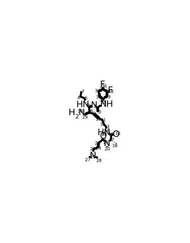 C=C(/N=C(NCCC)\C(C#CCCCNC(=O)[C@H](C)N(C)C(=O)/C=C/CN(C)C)=C/N)Nc1ccc(F)c(F)c1